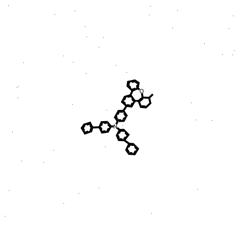 CC1CC=CC2=C1Oc1ccccc1-c1ccc(-c3ccc(N(c4ccc(-c5ccccc5)cc4)c4ccc(-c5ccccc5)cc4)cc3)cc12